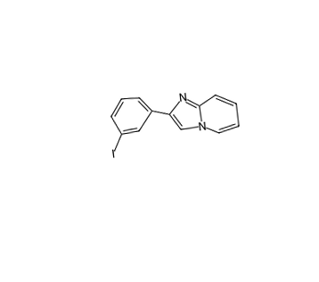 Ic1cccc(-c2cn3ccccc3n2)c1